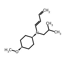 C=C/C=C/N(CC(C)C)[C@H]1CC[C@@H](OC)CC1